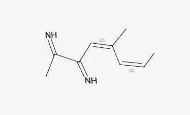 C/C=C\C(C)=C/C(=N)C(C)=N